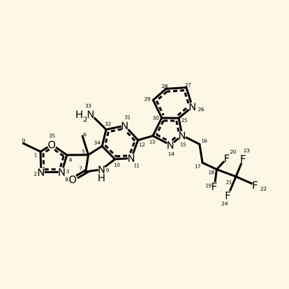 Cc1nnc(C2(C)C(=O)Nc3nc(-c4nn(CCC(F)(F)C(F)(F)F)c5ncccc45)nc(N)c32)o1